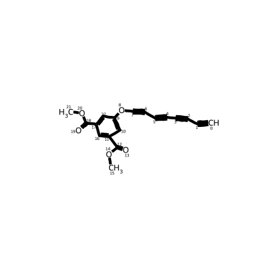 C#CC#CC#CC#COc1cc(C(=O)OC)cc(C(=O)OC)c1